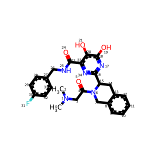 CN(C)CC(=O)N1Cc2ccccc2CC1c1nc(O)c(O)c(C(=O)NCc2ccc(F)cc2)n1